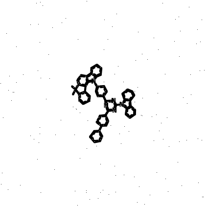 CC1(C)c2ccccc2-c2c1ccc1c3ccccc3n(-c3ccc(-c4nc(-c5ccc(-c6ccccc6)cc5)nc(-n5c6ccccc6c6ccccc65)n4)cc3)c21